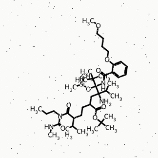 CCCN(C(=O)NC)C(=O)C(CCC(CC(N)(C(C)C)C(NC(=O)c1ccccc1OCCCCOC)(O[SiH](C)C)C(C)(C)C)C(=O)OC(C)(C)C)C(C)C